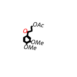 COc1ccc(C(=O)CCOC(C)=O)cc1OC